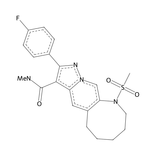 CNC(=O)c1c(-c2ccc(F)cc2)nn2cc3c(cc12)CCCCCN3S(C)(=O)=O